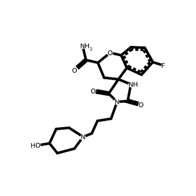 NC(=O)C1CC2(NC(=O)N(CCCN3CCC(O)CC3)C2=O)c2cc(F)ccc2O1